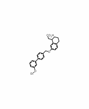 CCOc1cccc(-c2ccc(COc3ccc4c(c3)C(CC(=O)O)CCC4)cc2)c1